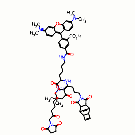 CN(C)c1ccc2c(-c3ccc(C(=O)NCCCCC(NC(CCCN4C(=O)C5C6C=CC(C7C=CC76)C5C4=O)=C4C(=O)CC(C)(C)CC4=O)C(=O)NCCCCCC(=O)CN4C(=O)CCC4=O)cc3C(=O)O)c3ccc(=[N+](C)C)cc-3oc2c1